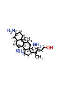 C[C@H](CCCO)[C@H]1CCC2C3C(C[C@H](N)[C@@]21C)[C@@]1(C)CC[C@@H](N)CC1C[C@H]3N